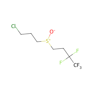 [O-][S+](CCCCl)CCC(F)(F)C(F)(F)F